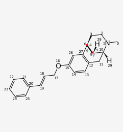 CN1CC[C@]23CCCC[C@H]2[C@H]1Cc1ccc(OCC=Cc2ccccc2)cc13